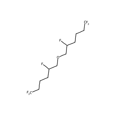 FC(CCCC(F)(F)F)COCC(F)CCCC(F)(F)F